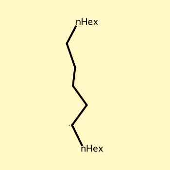 CCCCCC[CH]CCCCCCCCCC